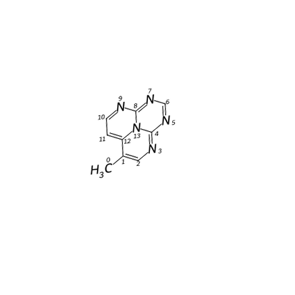 CC1=CN=C2N=CN=C3N=CC=C1N32